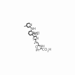 Cc1ccnc(Nc2cccc(-c3cnc(N(C)CC(=O)NC(C(=O)O)C(C)C)s3)n2)c1.Cl.Cl